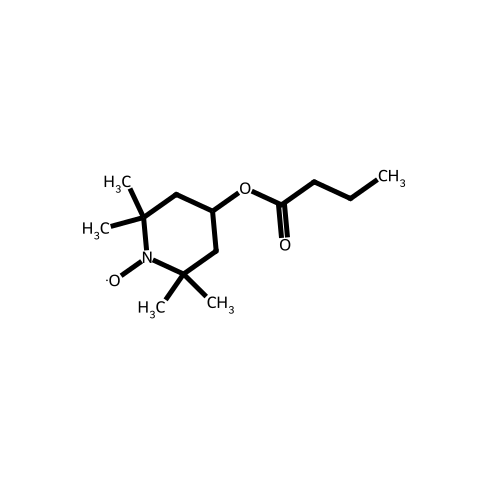 CCCC(=O)OC1CC(C)(C)N([O])C(C)(C)C1